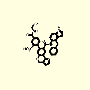 CC(C)CNC(=O)c1ccc(-c2cc3c(cc2C(=O)Nc2ccc4[nH]ccc4c2Cc2ccccc2)-c2sccc2CO3)c(C(=O)O)c1